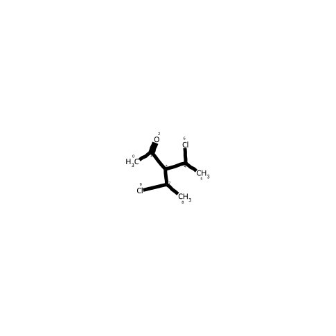 CC(=O)C(C(C)Cl)C(C)Cl